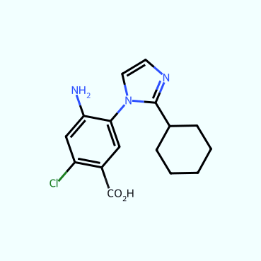 Nc1cc(Cl)c(C(=O)O)cc1-n1ccnc1C1CCCCC1